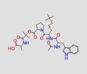 CC(=O)NC(Cc1c[nH]c2ccccc12)C(=O)NC(CSSC(C)(C)C)C(=O)N1CCCC1C(=O)OC(C)(C)C(=O)NC(C)C(=O)O